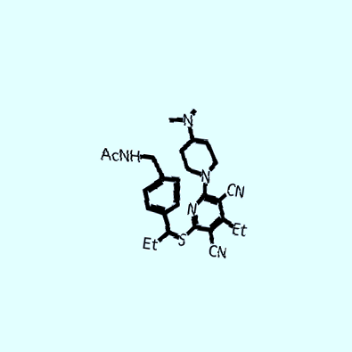 CCc1c(C#N)c(SC(CC)c2ccc(CNC(C)=O)cc2)nc(N2CCC(N(C)C)CC2)c1C#N